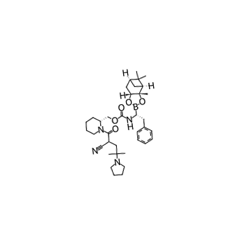 CC1(C)[C@@H]2C[C@H]3OB([C@H](Cc4ccccc4)NC(=O)OC[C@H]4CCCCN4C(=O)C(C#N)CC(C)(C)N4CCCC4)O[C@@]3(C)[C@H]1C2